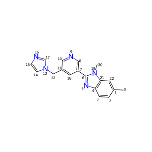 Cc1ccc2nc(-c3cncc(Cn4ccnc4)c3)n(C)c2c1